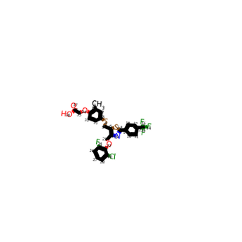 Cc1cc(SCc2sc(-c3ccc(C(F)(F)F)cc3)nc2COc2c(F)cccc2Cl)ccc1OCC(=O)O